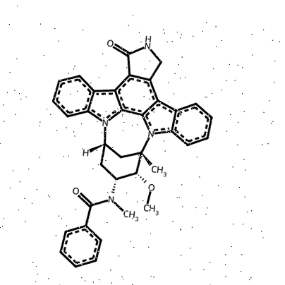 CO[C@@H]1[C@H](N(C)C(=O)c2ccccc2)C[C@H]2C[C@]1(C)n1c3ccccc3c3c4c(c5c6ccccc6n2c5c31)C(=O)NC4